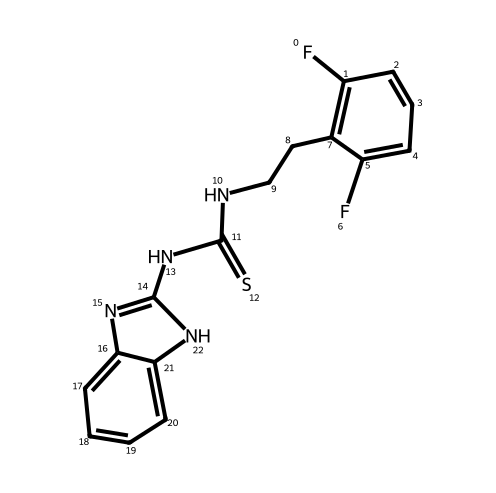 Fc1cccc(F)c1CCNC(=S)Nc1nc2ccccc2[nH]1